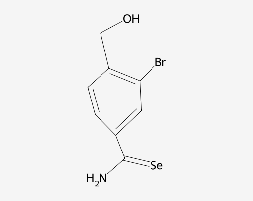 NC(=[Se])c1ccc(CO)c(Br)c1